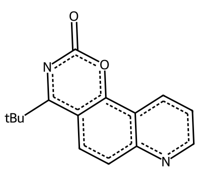 CC(C)(C)c1nc(=O)oc2c1ccc1ncccc12